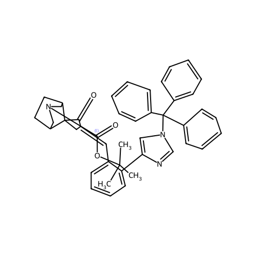 CC(C)(C)OC(=O)N1CC2CCC(C1)C21C/C(=C\c2ccccc2-c2cn(C(c3ccccc3)(c3ccccc3)c3ccccc3)cn2)C1=O